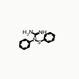 N=C(N)N(Sc1ccccc1)c1ccccc1